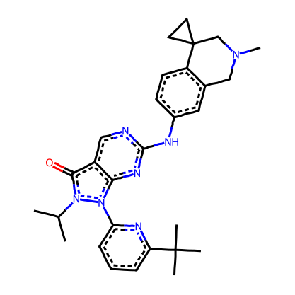 CC(C)n1c(=O)c2cnc(Nc3ccc4c(c3)CN(C)CC43CC3)nc2n1-c1cccc(C(C)(C)C)n1